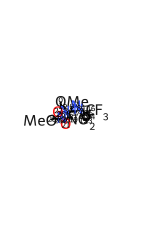 COCCn1c(-c2cnn(Cc3ccccc3C(F)(F)F)c2)c([N+](=O)[O-])c(=O)n(CCOC)c1=O